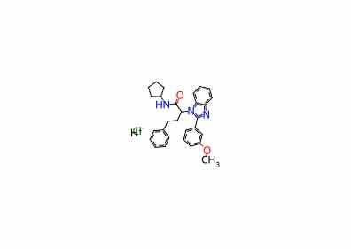 COc1cccc(-c2nc3ccccc3n2C(CCc2ccccc2)C(=O)NC2CCCC2)c1.[Cl-].[H+]